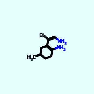 CC/C(=C/N)C1=C(N)CCC(C)C1